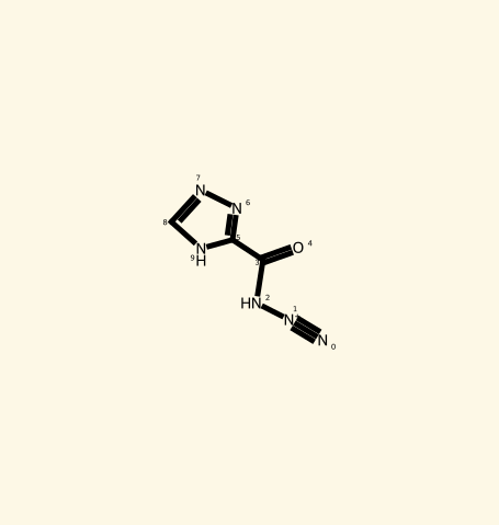 N#[N+]NC(=O)c1nnc[nH]1